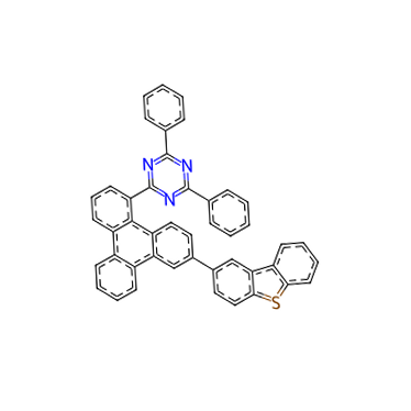 c1ccc(-c2nc(-c3ccccc3)nc(-c3cccc4c5ccccc5c5cc(-c6ccc7sc8ccccc8c7c6)ccc5c34)n2)cc1